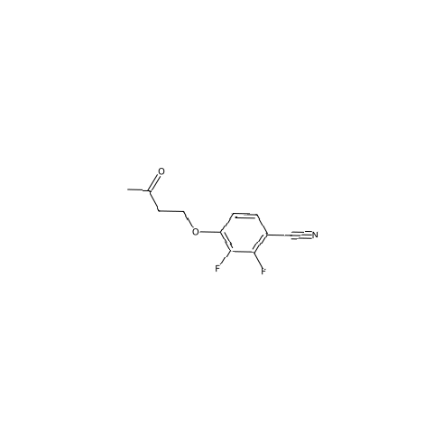 CC(=O)CCOc1ccc(C#N)c(F)c1F